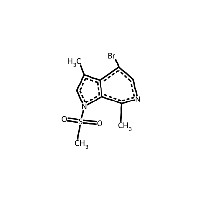 Cc1cn(S(C)(=O)=O)c2c(C)ncc(Br)c12